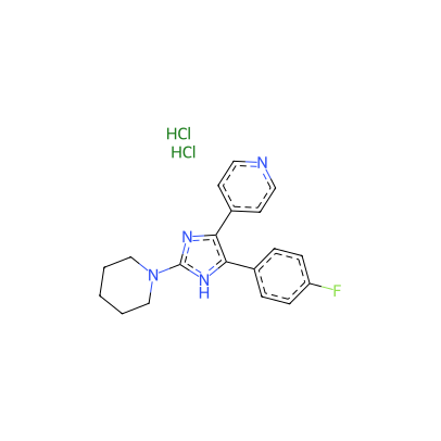 Cl.Cl.Fc1ccc(-c2[nH]c(N3CCCCC3)nc2-c2ccncc2)cc1